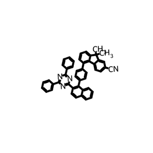 CC1(C)c2cc(C#N)ccc2-c2c(-c3ccc(-c4c(-c5nc(-c6ccccc6)nc(-c6ccccc6)n5)ccc5ccccc45)cc3)cccc21